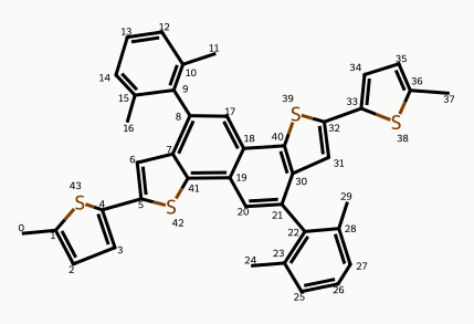 Cc1ccc(-c2cc3c(-c4c(C)cccc4C)cc4c(cc(-c5c(C)cccc5C)c5cc(-c6ccc(C)s6)sc54)c3s2)s1